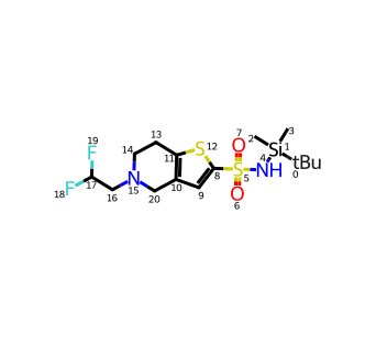 CC(C)(C)[Si](C)(C)NS(=O)(=O)c1cc2c(s1)CCN(CC(F)F)C2